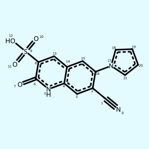 N#Cc1cc2[nH]c(=O)c(S(=O)(=O)O)cc2cc1-n1cccc1